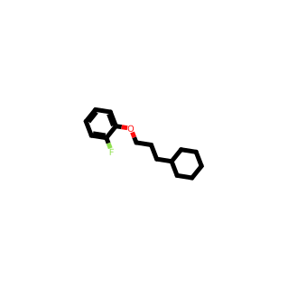 Fc1ccccc1OCCCC1CCCCC1